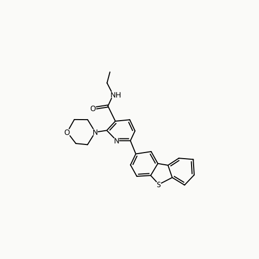 CCNC(=O)c1ccc(-c2ccc3sc4ccccc4c3c2)nc1N1CCOCC1